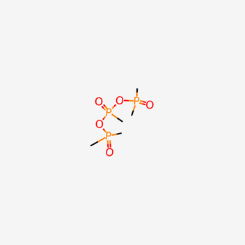 CP(C)(=O)OP(C)(=O)OP(C)(C)=O